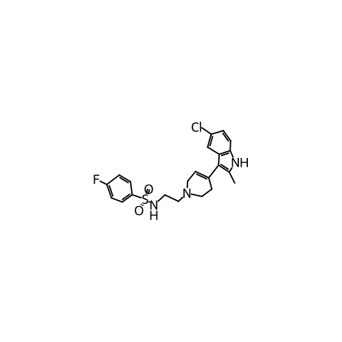 Cc1[nH]c2ccc(Cl)cc2c1C1=CCN(CCNS(=O)(=O)c2ccc(F)cc2)CC1